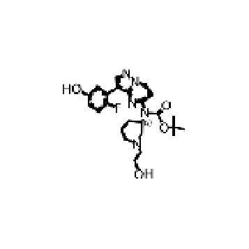 CC(C)(C)OC(=O)N(c1ccn2ncc(-c3cc(O)ccc3F)c2n1)[C@H]1CCCN(CCO)C1